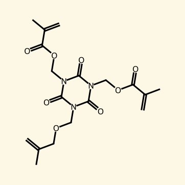 C=C(C)COCn1c(=O)n(COC(=O)C(=C)C)c(=O)n(COC(=O)C(=C)C)c1=O